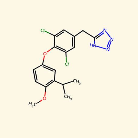 COc1ccc(Oc2c(Cl)cc(Cc3nnn[nH]3)cc2Cl)cc1C(C)C